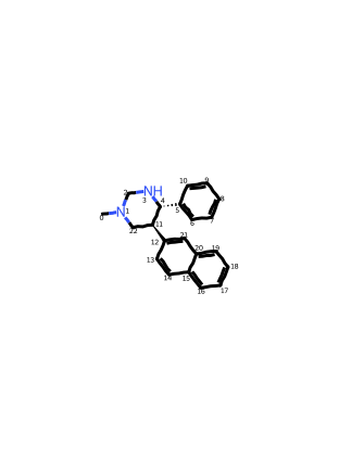 CN1CN[C@H](c2ccccc2)[C@@H](c2ccc3ccccc3c2)C1